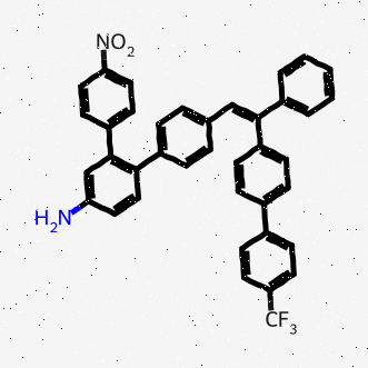 Nc1ccc(-c2ccc(C=C(c3ccccc3)c3ccc(-c4ccc(C(F)(F)F)cc4)cc3)cc2)c(-c2ccc([N+](=O)[O-])cc2)c1